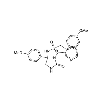 COc1ccc(CCN2C(=O)NCC2(NS(=O)(=O)Cc2cccnc2)c2ccc(OC)cc2)cc1